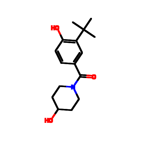 CC(C)(C)c1cc(C(=O)N2CCC(O)CC2)ccc1O